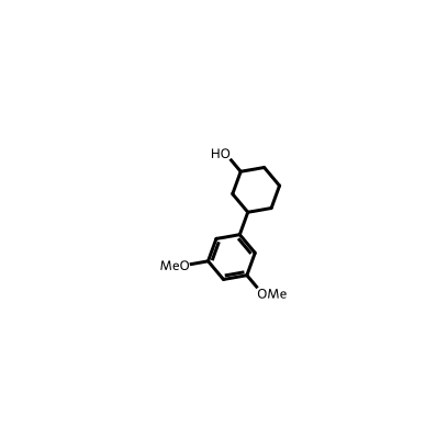 COc1cc(OC)cc(C2CCCC(O)C2)c1